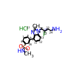 CNS(=O)(=O)c1cccc(-c2cccc3c2nc(C)n3C/C(F)=C/CN)c1.Cl